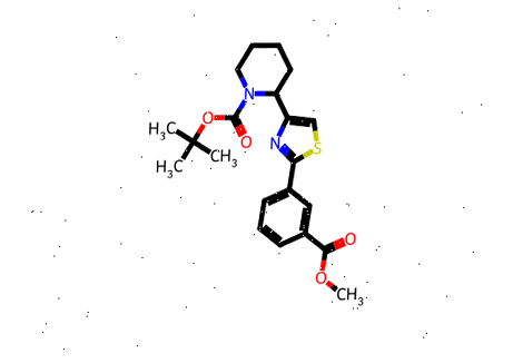 COC(=O)c1cccc(-c2nc(C3CCCCN3C(=O)OC(C)(C)C)cs2)c1